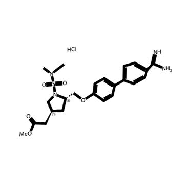 COC(=O)C[C@@H]1C[C@@H](COc2ccc(-c3ccc(C(=N)N)cc3)cc2)N(S(=O)(=O)N(C)C)C1.Cl